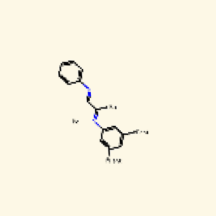 CCCCCc1cc(CCCCC)cc(/N=C(/C=N/c2ccccc2)CCCC)c1.[Pd]